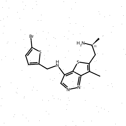 Cc1c(C[C@H](C)N)sc2c(NCc3ccc(Br)s3)cnnc12